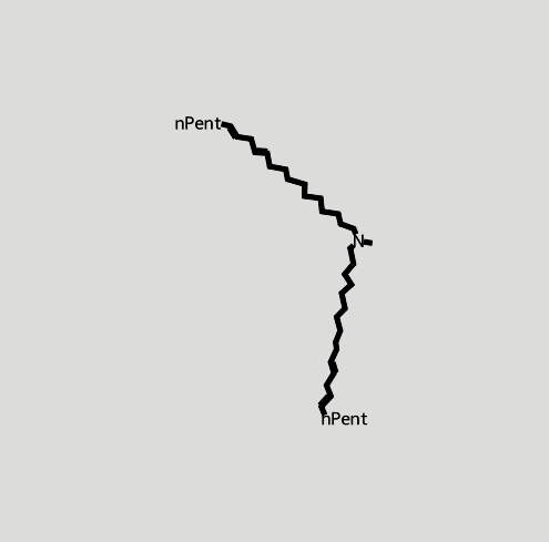 CCCCCC=CCC=CCCCCCCCCCCN(C)CCCCCCCCCCC=CCC=CCCCCC